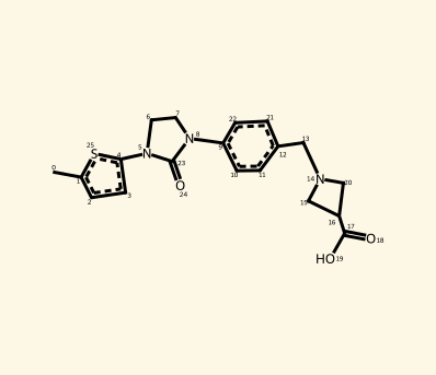 Cc1ccc(N2CCN(c3ccc(CN4CC(C(=O)O)C4)cc3)C2=O)s1